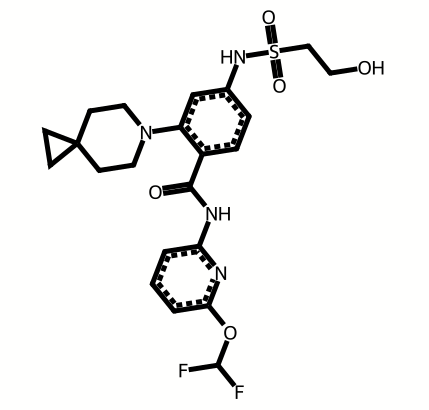 O=C(Nc1cccc(OC(F)F)n1)c1ccc(NS(=O)(=O)CCO)cc1N1CCC2(CC1)CC2